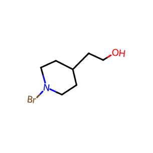 OCCC1CCN(Br)CC1